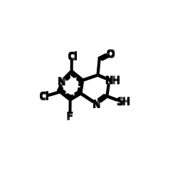 O=CC1NC(S)=Nc2c(F)c(Cl)nc(Cl)c21